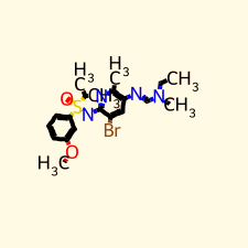 CCN(C)C=Nc1cc(Br)c(N=S(=O)(c2cccc(OC)c2)C(C)C)nc1C